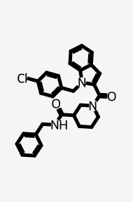 O=C(NCc1ccccc1)C1CCCN(C(=O)c2cc3ccccc3n2Cc2ccc(Cl)cc2)C1